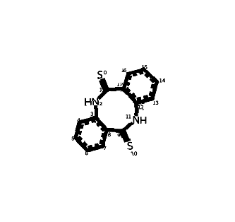 S=C1Nc2ccccc2C(=S)Nc2ccccc21